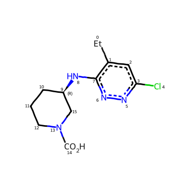 CCc1cc(Cl)nnc1N[C@@H]1CCCN(C(=O)O)C1